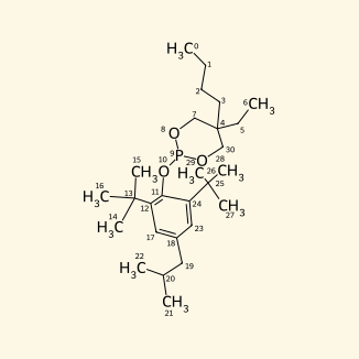 CCCCC1(CC)COP(Oc2c(C(C)(C)C)cc(CC(C)C)cc2C(C)(C)C)OC1